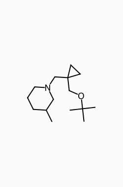 CC1CCCN(CC2(COC(C)(C)C)CC2)C1